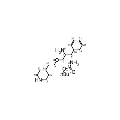 CC(C)(C)OC(N)=O.NC(COCCC1CCNCC1)Cc1ccccc1